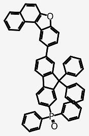 O=P(c1ccccc1)(c1ccccc1)c1ccc2c(c1)C(c1ccccc1)(c1ccccc1)c1cc(-c3ccc4oc5ccc6ccccc6c5c4c3)ccc1-2